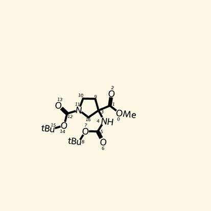 COC(=O)C1(NC(=O)OC(C)(C)C)CCN(C(=O)OC(C)(C)C)C1